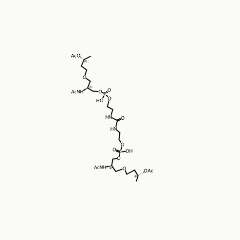 CC(=O)N[C@H](COCC[C@@H](C)OC(C)=O)COP(=O)(O)OCCNC(=O)NCCOP(=O)(O)OC[C@H](COCC[C@@H](C)OC(C)=O)NC(C)=O